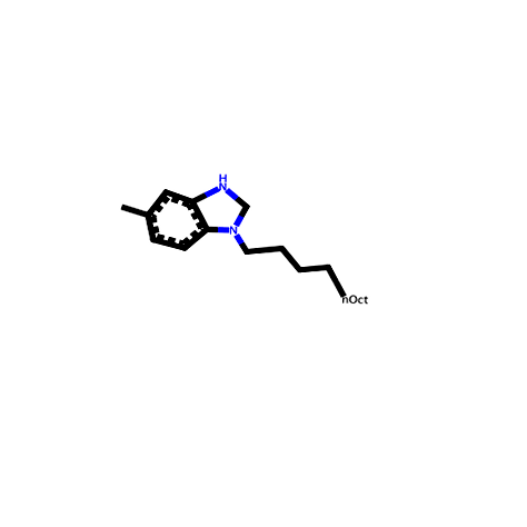 CCCCCCCCCCCCN1CNc2cc(C)ccc21